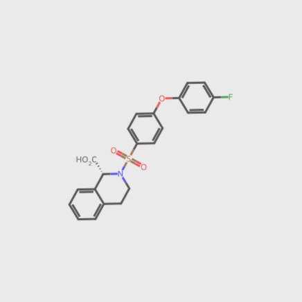 O=C(O)[C@H]1c2ccccc2CCN1S(=O)(=O)c1ccc(Oc2ccc(F)cc2)cc1